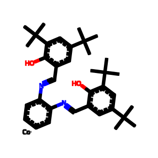 CC(C)(C)c1cc(C=Nc2ccccc2N=Cc2cc(C(C)(C)C)cc(C(C)(C)C)c2O)c(O)c(C(C)(C)C)c1.[Co]